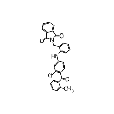 Cc1ccccc1C(=O)c1ccc(Nc2ccccc2CN2C(=O)c3ccccc3C2=O)cc1Cl